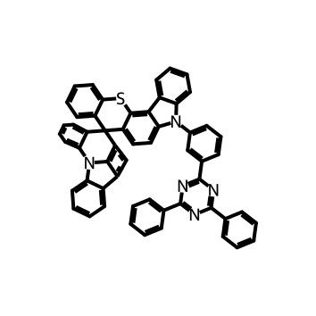 c1ccc(-c2nc(-c3ccccc3)nc(-c3cccc(-n4c5ccccc5c5c6c(ccc54)C4(c5ccccc5S6)c5ccccc5-n5c6ccccc6c6cccc4c65)c3)n2)cc1